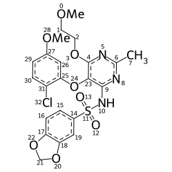 COCCOc1nc(C)nc(NS(=O)(=O)c2ccc3c(c2)OCO3)c1Oc1cc(OC)ccc1Cl